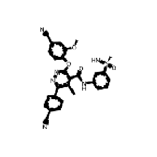 COc1cc(C#N)ccc1Oc1nnc(-c2ccc(C#N)cc2)c(C)c1C(=O)Nc1cccc([S@](C)(=N)=O)c1